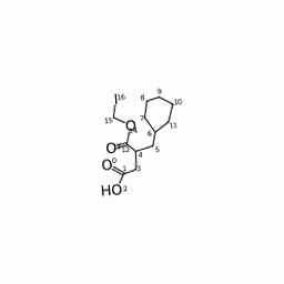 O=C(O)CC(CC1CCCCC1)C(=O)OCI